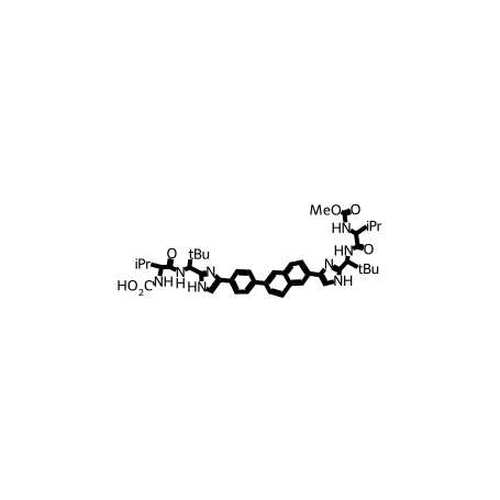 COC(=O)NC(C(=O)NC(c1nc(-c2ccc3cc(-c4ccc(-c5c[nH]c(C(NC(=O)C(NC(=O)O)C(C)C)C(C)(C)C)n5)cc4)ccc3c2)c[nH]1)C(C)(C)C)C(C)C